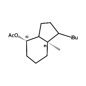 CCC(C)C1CCC2[C@@H](OC(C)=O)CCC[C@]12C